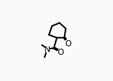 CN(C)C(=O)C1CCCCC1=O